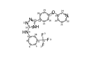 FC(F)(F)c1cccc(Nc2nnc(-c3ccc(Oc4cccnc4)cc3)[nH]2)c1